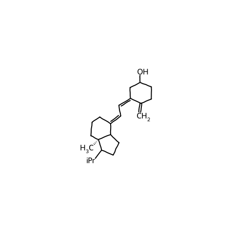 C=C1CCC(O)C/C1=C/C=C1\CCC[C@@]2(C)C1CCC2C(C)C